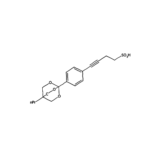 CCCC12COC(c3ccc(C#CCCS(=O)(=O)O)cc3)(OC1)OC2